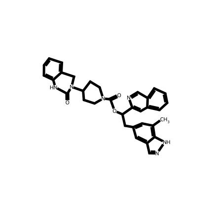 Cc1cc(CC(OC(=O)N2CCC(N3Cc4ccccc4NC3=O)CC2)c2cc3ccccc3cn2)cc2cn[nH]c12